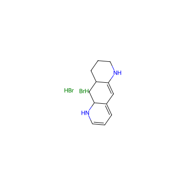 Br.Br.C1=CNC2CC3CCCNC3=CC2=C1